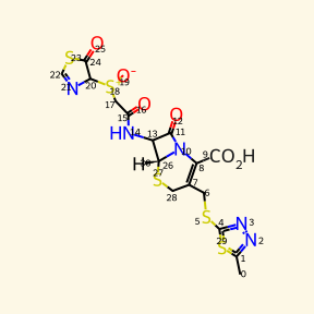 Cc1nnc(SCC2=C(C(=O)O)N3C(=O)C(NC(=O)C[S+]([O-])C4N=CSC4=O)[C@H]3SC2)s1